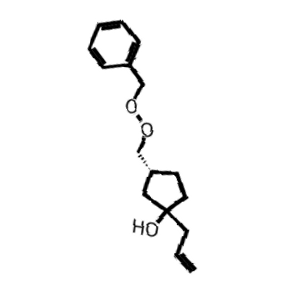 C=CCC1(O)CC[C@@H](COOCc2ccccc2)C1